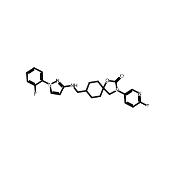 O=C1OC2(CCC(CNc3ccn(-c4ccccc4F)n3)CC2)CN1c1ccc(F)nc1